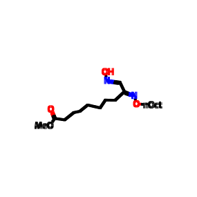 CCCCCCCCON=C(C=NO)CCCCCCCC(=O)OC